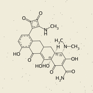 CNc1c(-c2ccc(O)c3c2CC2C[C@H]4[C@H](N(C)C)C(O)=C(C(N)=O)C(=O)[C@@]4(O)C(O)=C2C3=O)c(=O)c1=O